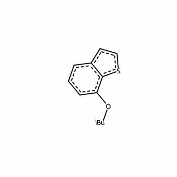 CCC(C)Oc1cccc2ccsc12